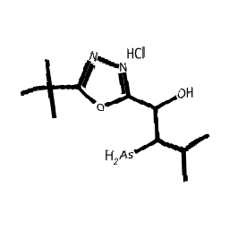 CC(C)C([AsH2])C(O)c1nnc(C(C)(C)C)o1.Cl